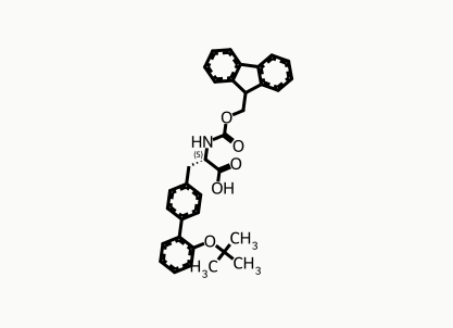 CC(C)(C)Oc1ccccc1-c1ccc(C[C@H](NC(=O)OCC2c3ccccc3-c3ccccc32)C(=O)O)cc1